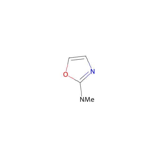 CNc1ncco1